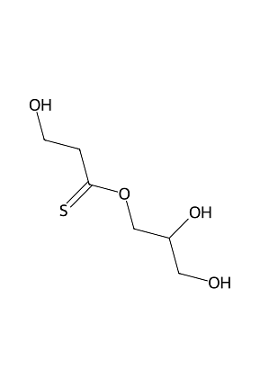 OCCC(=S)OCC(O)CO